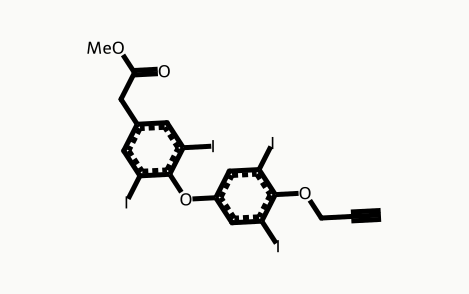 C#CCOc1c(I)cc(Oc2c(I)cc(CC(=O)OC)cc2I)cc1I